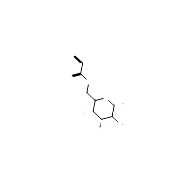 C=CC(=O)OCC1O[C@H](O)C(O)[C@@H](O)[C@@H]1O